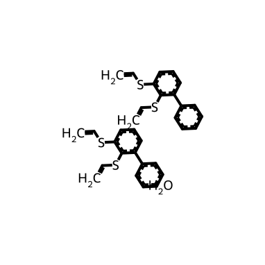 C=CSc1cccc(-c2ccccc2)c1SC=C.C=CSc1cccc(-c2ccccc2)c1SC=C.O